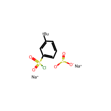 CC(C)(C)c1cccc(S(=O)(=O)Cl)c1.O=S([O-])[O-].[Na+].[Na+]